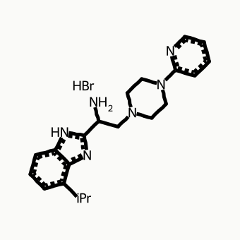 Br.CC(C)c1cccc2[nH]c(C(N)CN3CCN(c4ccccn4)CC3)nc12